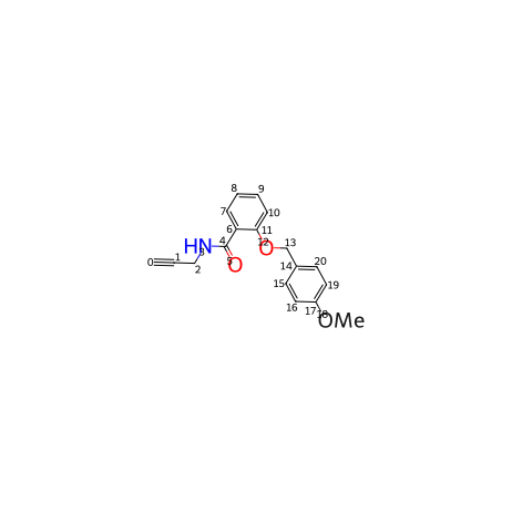 C#CCNC(=O)c1ccccc1OCc1ccc(OC)cc1